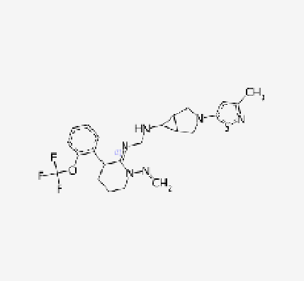 C=NN1CCCC(c2ccccc2OC(F)(F)F)/C1=N/CNC1C2CN(c3cc(C)ns3)CC21